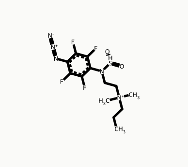 CCC[N+](C)(C)CCN(c1c(F)c(F)c(N=[N+]=[N-])c(F)c1F)[SH](=O)=O